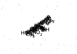 CC(C)c1ccccc1[C@H]1CS(=O)(=O)CCN1C1CC2(CCN(c3ccc(C(=O)NS(=O)(=O)c4cc([N+](=O)[O-])c5c(n4)OC[C@H]([C@H]4CC[C@](C)(O)CC4)N5)c(Oc4cnc5[nH]ccc5c4)c3)CC2)C1